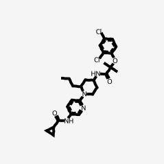 CCCC1CC(NC(=O)C(C)(C)Oc2ccc(Cl)cc2Cl)CCN1c1ccc(NC(=O)C2CC2)cn1